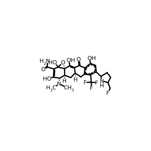 CN(C)[C@@H]1C(O)=C(C(N)=O)C2(O)O[C@@]23C(O)=C2C(=O)c4c(O)cc(C5CCC(CF)N5)c(C(F)(F)F)c4C[C@H]2C[C@@H]13